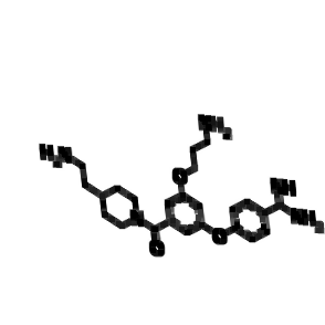 N=C(N)c1ccc(Oc2cc(OCCCN)cc(C(=O)N3CCC(CCN)CC3)c2)cc1